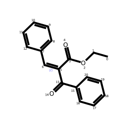 CCOC(=O)/C(=C\c1ccccc1)C(=O)c1ccccc1